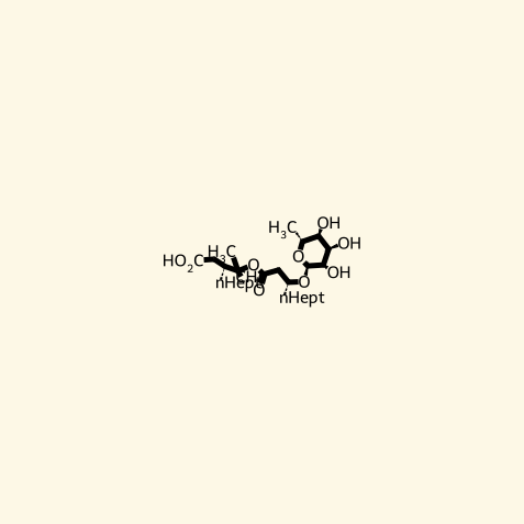 CCCCCCC[C@H](CC(=O)OC(C)(C)[C@H](CCCCCCC)CC(=O)O)O[C@H]1O[C@H](C)[C@@H](O)[C@@H](O)[C@H]1O